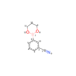 N#Cc1cccc(B2OCCCO2)c1